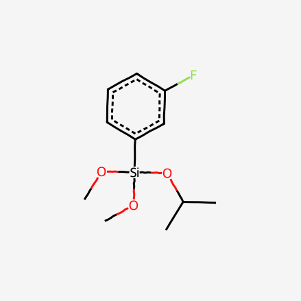 CO[Si](OC)(OC(C)C)c1cccc(F)c1